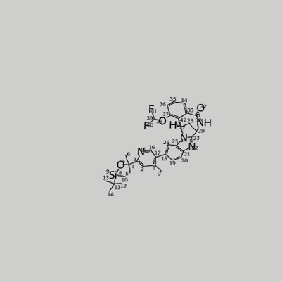 Cc1cc(C(C)(C)O[Si](C)(C)C(C)(C)C)ncc1-c1ccc2nc3n(c2c1)[C@H]1CC3NC(=O)c2cccc(OC(F)F)c21